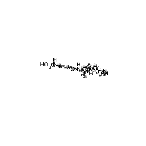 CC(Cc1nncn1C)c1cccc(NC(=O)c2ccc(CNCCOCCOCCOCCNC(=O)O)c(C3CC3)n2)c1